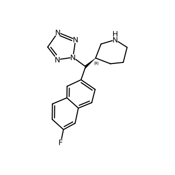 Fc1ccc2cc(C([C@@H]3CCCNC3)n3ncnn3)ccc2c1